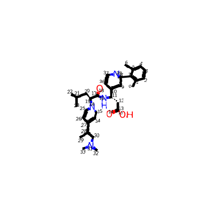 Cc1cccc(C)c1-c1cc([C@H](CC(=O)O)NC(=O)[C@H](CC(C)C)N2C=CC(C(C)CN(C)C)=CC2)ccn1